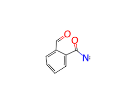 [N]C(=O)c1ccccc1C=O